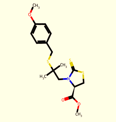 COC(=O)[C@@H]1CSC(=S)N1CC(C)(C)SCc1ccc(OC)cc1